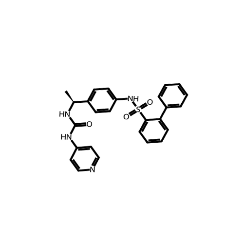 C[C@H](NC(=O)Nc1ccncc1)c1ccc(NS(=O)(=O)c2ccccc2-c2ccccc2)cc1